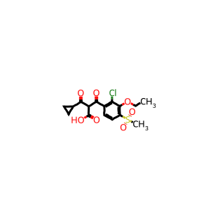 CCOc1c(S(C)(=O)=O)ccc(C(=O)C(C(=O)O)C(=O)C2CC2)c1Cl